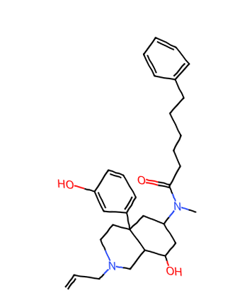 C=CCN1CCC2(c3cccc(O)c3)CC(N(C)C(=O)CCCCCc3ccccc3)CC(O)C2C1